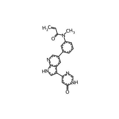 C=CC(=O)N(C)c1cccc(-c2cnc3[nH]cc(-c4cc(=O)[nH]cn4)c3c2)c1